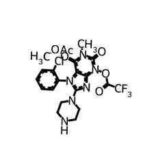 COC(C)=O.Cn1c(=O)c2c(nc(N3CCNCC3)n2-c2ccccc2Cl)n(OC(=O)C(F)(F)F)c1=O